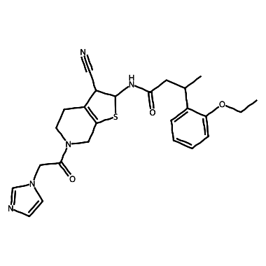 CCOc1ccccc1C(C)CC(=O)NC1SC2=C(CCN(C(=O)Cn3ccnc3)C2)C1C#N